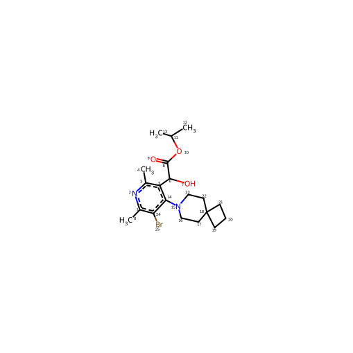 Cc1nc(C)c(C(O)C(=O)OC(C)C)c(N2CCC3(CCC3)CC2)c1Br